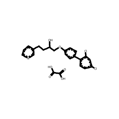 O=C(O)C(=O)O.OC(CCc1cccnc1)COc1ccc(-c2ccc(Cl)cc2Cl)cc1